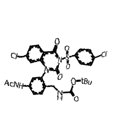 CC(=O)Nc1ccc(CNC(=O)OC(C)(C)C)c(-n2c(=O)n(S(=O)(=O)c3ccc(Cl)cc3)c(=O)c3ccc(Cl)cc32)c1